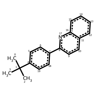 CC(C)(C)c1ccc(-c2ccc3ccc[c]c3n2)cc1